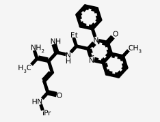 CCC(NC(=N)C(/C=C/C(=O)NC(C)C)=C(/C)N)c1nc2cccc(C)c2c(=O)n1-c1ccccc1